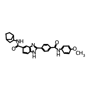 COc1ccc(NC(=O)c2ccc(-c3nc4cc(C(=O)NC5CC6CCC5C6)ccc4[nH]3)cc2)cc1